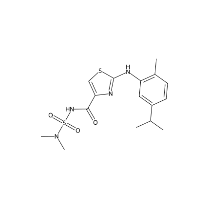 Cc1ccc(C(C)C)cc1Nc1nc(C(=O)NS(=O)(=O)N(C)C)cs1